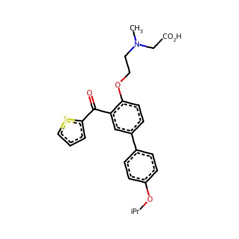 CC(C)Oc1ccc(-c2ccc(OCCN(C)CC(=O)O)c(C(=O)c3cccs3)c2)cc1